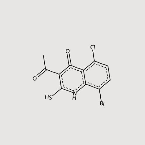 CC(=O)c1c(S)[nH]c2c(Br)ccc(Cl)c2c1=O